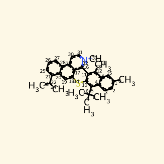 Cc1ccc2c(C(C)(C)C)c3c(c(C)c2c1)-c1c2c(cc4c(C(C)C)cccc4c2cc[n+]1C)S3